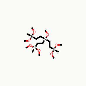 CO[Si](CC[Si](C)(OC)OC)(CC[Si](C)(OC)OC)CC[Si](C)(OC)OC